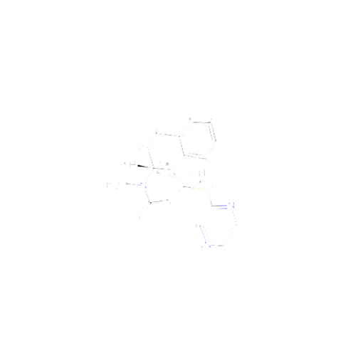 CN1C(=O)CC(Sc2cnccn2)[C@]2(C)c3ccccc3CC[C@@H]12